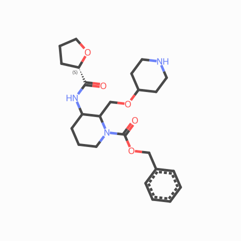 O=C(NC1CCCN(C(=O)OCc2ccccc2)C1COC1CCNCC1)[C@@H]1CCCO1